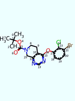 CC(C)(C)OC(=O)N1CCc2c(ncnc2Oc2cccc(Br)c2Cl)C1